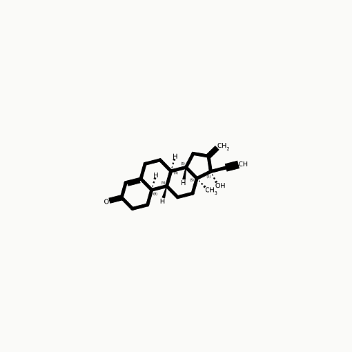 C#C[C@]1(O)C(=C)C[C@H]2[C@@H]3CCC4=CC(=O)CC[C@@H]4[C@H]3CC[C@@]21C